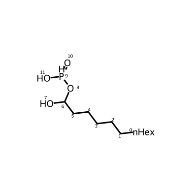 CCCCCCCCCCCC(O)O[PH](=O)O